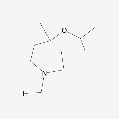 CC(C)OC1(C)CCN(CI)CC1